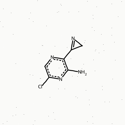 Nc1nc(Cl)cnc1C1=NC1